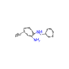 CC(C)(C)c1ccc(NCc2ccccc2)c(N)c1